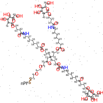 CCCSSCCOCCOCCC(=O)CC(CCCOC(=O)CCCCCCCNC(=O)CCCOC1OC(CO)C(O)C(O)C1C)(CCCOC(=O)CCCCCCCNC(=O)CCCOC1OC(CO)C(O)C(O)C1C)CCCOC(=O)NCCCCCCCC(=O)CCCOC1OC(CO)C(O)C(O)C1C